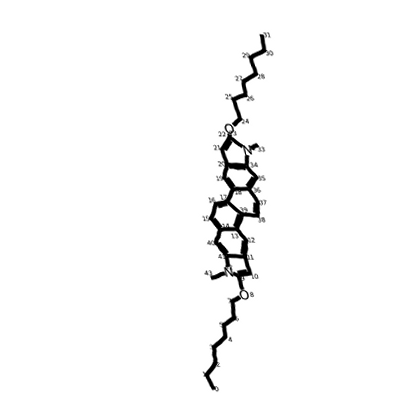 CCCCCCCCOc1cc2cc3c(ccc4c5cc6cc(OCCCCCCCC)n(C)c6cc5ccc34)cc2n1C